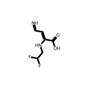 N=C/C=C(\NCC(F)F)C(=O)O